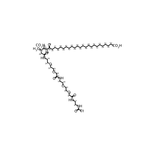 CCC(=O)NCCNC(=O)COCCOCCNC(=O)COCCOCCNC(=O)CN(C)[C@H](NC(=O)CCCCCCCCCCCCCCCCCCCCCCC(=O)O)C(=O)O